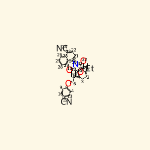 CCC12CCC(CCOc3ccc(C#N)cc3)(O1)[C@@H]1C(=O)N(c3ccc(C#N)c4ccccc34)C(=O)[C@@H]12